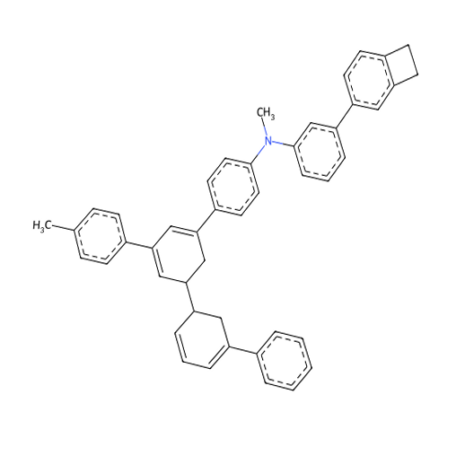 Cc1ccc(C2=CC(C3C=CC=C(c4ccccc4)C3)CC(c3ccc(N(C)c4cccc(-c5ccc6c(c5)CC6)c4)cc3)=C2)cc1